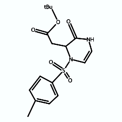 Cc1ccc(S(=O)(=O)N2C=CNC(=O)C2CC(=O)OC(C)(C)C)cc1